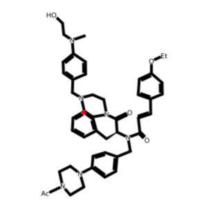 CCOc1ccc(/C=C/C(=O)N(Cc2ccc(N3CCN(C(C)=O)CC3)cc2)[C@@H](Cc2ccccc2)C(=O)N2CCN(Cc3ccc(N(C)CCO)cc3)CC2)cc1